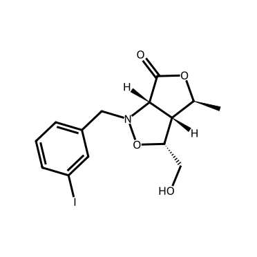 C[C@@H]1OC(=O)[C@@H]2[C@H]1[C@H](CO)ON2Cc1cccc(I)c1